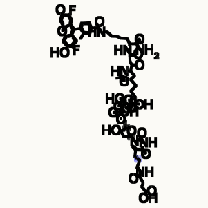 CC(=O)NC(CCCCCP(=O)(O)OP(=O)(O)OP(=O)(O)OC[C@H]1O[C@@H](n2cc(/C=C/CNC(=O)CCC(=O)O)c(=O)[nH]c2=O)CC1O)C(=O)CC(=O)NC(CCCCCNC(=O)c1ccc(-c2c3cc(F)c(=O)cc-3oc3cc(O)c(F)cc23)c(C)c1)C(N)=O